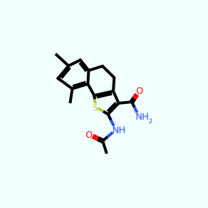 CC(=O)Nc1sc2c(c1C(N)=O)CCc1cc(C)cc(C)c1-2